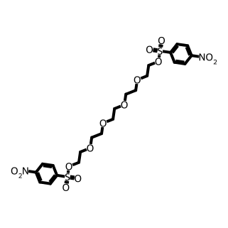 O=[N+]([O-])c1ccc(S(=O)(=O)OCCOCCOCCOCCOCCOS(=O)(=O)c2ccc([N+](=O)[O-])cc2)cc1